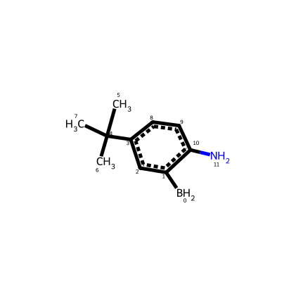 Bc1cc(C(C)(C)C)ccc1N